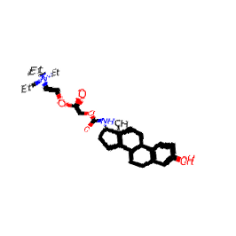 CC[N+](CC)(CC)CCOC(=O)COC(=O)N[C@H]1CCC2C3CCc4cc(O)ccc4C3CC[C@@]21C